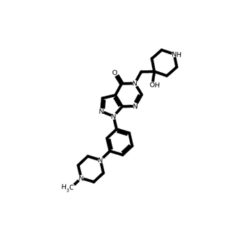 CN1CCN(c2cccc(-n3ncc4c(=O)n(CC5(O)CCNCC5)cnc43)c2)CC1